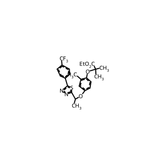 CCOC(=O)C(C)(C)Oc1ccc(OC(C)c2nnc(-c3ccc(C(F)(F)F)cc3)s2)cc1C